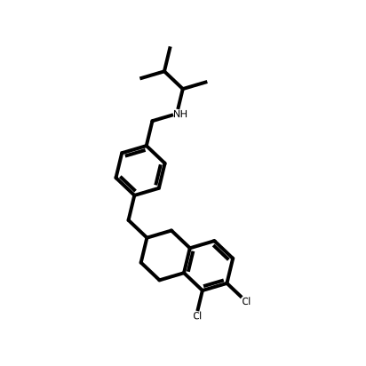 CC(C)C(C)NCc1ccc(CC2CCc3c(ccc(Cl)c3Cl)C2)cc1